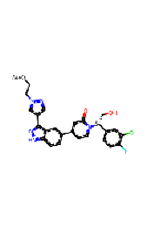 COCCn1cc(-c2n[nH]c3ccc(-c4ccn([C@H](CO)c5ccc(F)c(Cl)c5)c(=O)c4)cc23)cn1